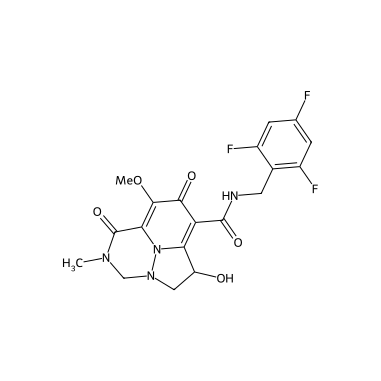 COc1c2n3c(c(C(=O)NCc4c(F)cc(F)cc4F)c1=O)C(O)CN3CN(C)C2=O